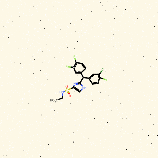 O=C(O)CNS(=O)(=O)c1c[nH]c(C(c2ccc(F)c(F)c2)c2ccc(F)c(Cl)c2)n1